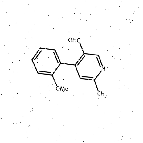 COc1ccccc1-c1cc(C)ncc1C=O